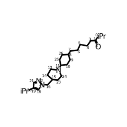 CC(C)C(=O)CCCCCC1CCC(N2CCC(Cn3cc(C(C)C)cn3)CC2)CC1